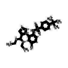 CCOC(OCC)c1cnnn1-c1cc(Cl)ccc1NS(=O)(=O)c1ccc(C(C)(C)C)cc1